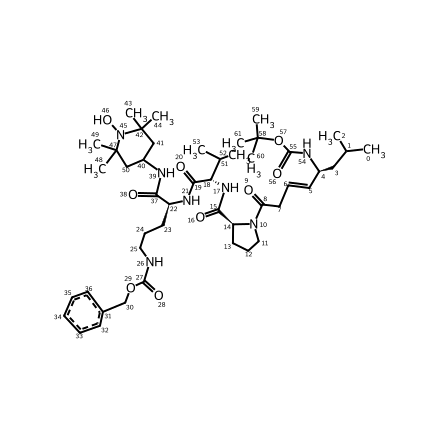 CC(C)C[C@@H](/C=C/CC(=O)N1CCC[C@H]1C(=O)N[C@H](C(=O)N[C@@H](CCCNC(=O)OCc1ccccc1)C(=O)NC1CC(C)(C)N(O)C(C)(C)C1)C(C)C)NC(=O)OC(C)(C)C